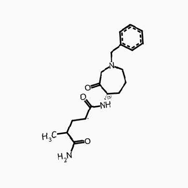 CC(C[CH]C(=O)N[C@H]1CCCN(Cc2ccccc2)CC1=O)C(N)=O